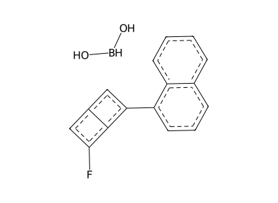 Fc1cc2cc(-c3cccc4ccccc34)c1-2.OBO